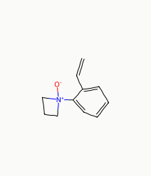 C=Cc1ccccc1[N+]1([O-])CCC1